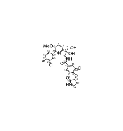 COc1ccc(C(O)(CO)CNC(=O)c2ccc(OC3CCNC3=O)c(Cl)c2)nc1-c1ccc(F)c(Cl)c1